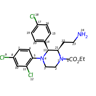 CCOC(=O)N1CCN(c2ccc(Cl)cc2Cl)[C@@H](c2ccc(Cl)cc2)[C@H]1CCN